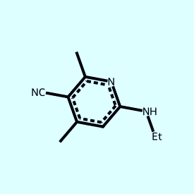 CCNc1cc(C)c(C#N)c(C)n1